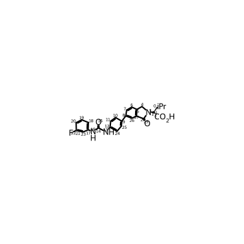 CC(C)[C@@H](C(=O)O)N1Cc2ccc(-c3ccc(NC(=O)Nc4cccc(F)c4)cc3)cc2C1=O